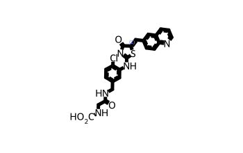 O=C(O)NCC(=O)NCc1ccc(Cl)c(NC2=NC(=O)/C(=C/c3ccc4ncccc4c3)S2)c1